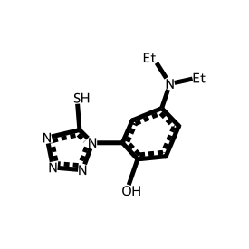 CCN(CC)c1ccc(O)c(-n2nnnc2S)c1